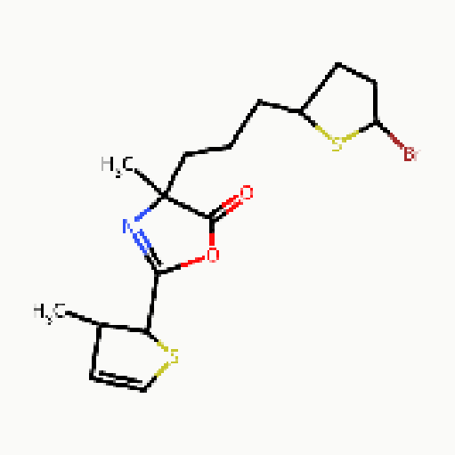 CC1C=CSC1C1=NC(C)(CCCC2CCC(Br)S2)C(=O)O1